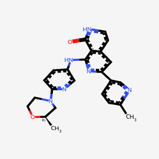 Cc1ccc(-c2cc3cc[nH]c(=O)c3c(Nc3ccc(N4CCO[C@H](C)C4)nc3)n2)cn1